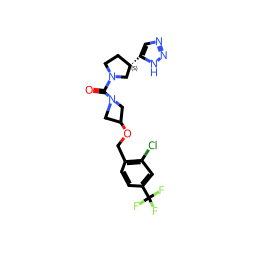 O=C(N1CC(OCc2ccc(C(F)(F)F)cc2Cl)C1)N1CC[C@H](c2cnn[nH]2)C1